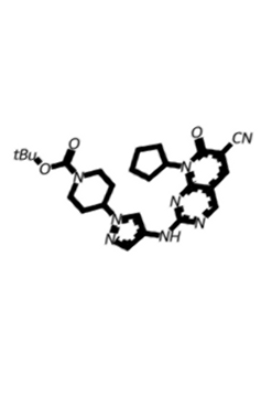 CC(C)(C)OC(=O)N1CCC(n2cc(Nc3ncc4cc(C#N)c(=O)n(C5CCCC5)c4n3)cn2)CC1